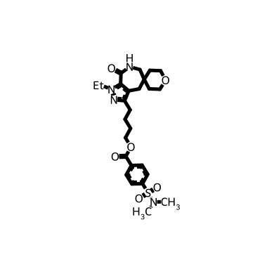 CCn1nc(CCCCOC(=O)c2ccc(S(=O)(=O)N(C)C)cc2)c2c1C(=O)NCC1(CCOCC1)C2